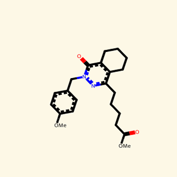 COC(=O)CCCCc1nn(Cc2ccc(OC)cc2)c(=O)c2c1CCCC2